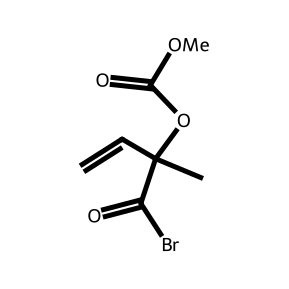 C=CC(C)(OC(=O)OC)C(=O)Br